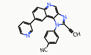 C#Cc1nc2cnc3ccc(-c4cccnc4)cc3c2n1-c1ccc(C#N)cc1